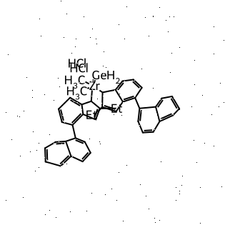 CCC1=Cc2c(-c3cccc4ccccc34)cccc2[CH]1[Zr]([CH3])([CH3])(=[GeH2])[CH]1C(CC)=Cc2c(-c3cccc4ccccc34)cccc21.Cl.Cl